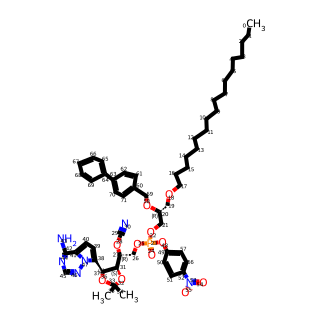 CCCCCCCCCCCCCCCCCCOC[C@H](COP(=O)(OC[C@@H](OC#N)[C@H]1OC(C)(C)O[C@H]1c1ccc2c(N)ncnn12)Oc1ccc([N+](=O)[O-])cc1)OCc1ccc(-c2ccccc2)cc1